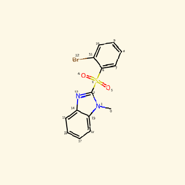 Cn1c(S(=O)(=O)c2ccccc2Br)nc2ccccc21